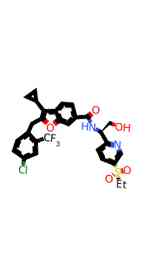 CCS(=O)(=O)c1ccc([C@H](CO)NC(=O)c2ccc3c(C4CC4)c(Cc4ccc(Cl)cc4C(F)(F)F)oc3c2)nc1